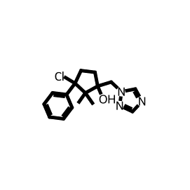 CC1(C)C(O)(Cn2cncn2)CCC1(Cl)c1ccccc1